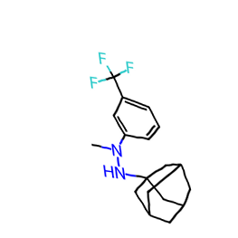 CN(NC12CC3CC(CC(C3)C1)C2)c1cccc(C(F)(F)F)c1